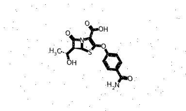 C[C@@H](O)[C@H]1C(=O)N2C(C(=O)O)=C(Oc3ccc(C(N)=O)cc3)SC12